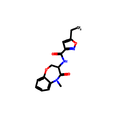 CN1C(=O)C(NC(=O)c2cc(CC(F)(F)F)on2)COc2ccccc21